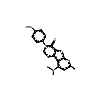 COc1ccc(-n2cnc3c(sc4nc(C)cc(N(C)C)c43)c2=O)cc1